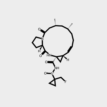 C[C@@H]1CC/C=C\[C@@H]2C[C@@]2(C(=O)N[S+]([O-])C2(CF)CC2)NC(=O)[C@@H]2CCCN2C(=O)C[C@H](C)C1